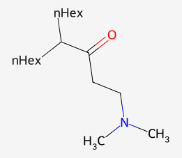 CCCCCCC(CCCCCC)C(=O)CCN(C)C